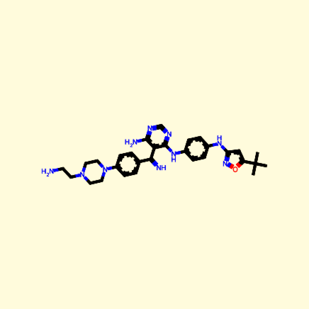 CC(C)(C)c1cc(Nc2ccc(Nc3ncnc(N)c3C(=N)c3ccc(N4CCN(CCN)CC4)cc3)cc2)no1